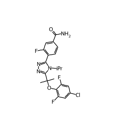 CC(C)n1c(-c2ccc(C(N)=O)cc2F)nnc1C(C)(C)Oc1c(F)cc(Cl)cc1F